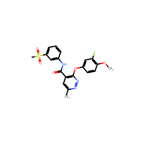 CS(=O)(=O)c1cccc(NC(=O)c2cc(C(F)(F)F)nnc2Oc2ccc(OC(F)(F)F)c(F)c2)c1